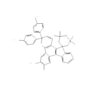 COc1ccc(C2(c3ccc(OC)cc3)C=Cc3c4c(c5cc(S)c(SC)cc5c3O2)-c2ccccc2C42CC(C)(C)CC(C)(C)C2)cc1